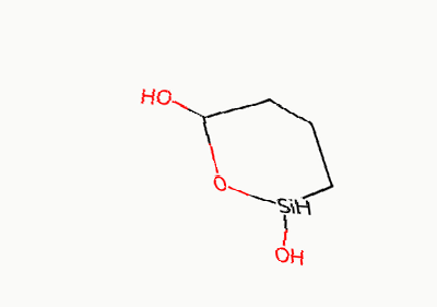 OC1CCC[SiH](O)O1